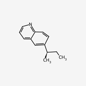 CC[C@@H](C)c1ccc2ncccc2c1